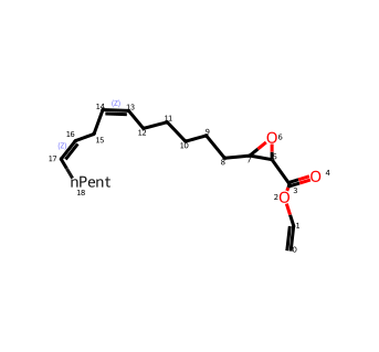 C=COC(=O)C1OC1CCCCC/C=C\C/C=C\CCCCC